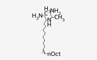 CCCCCCCC/C=C\CCCCCCCCC(NC(C)CN)C(C)N